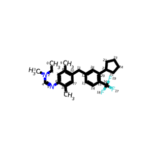 CCN(C)/C=N\c1cc(C)c(Cc2ccc(C(F)(F)F)c(C3CCCC3)c2)cc1C